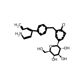 C=C/C=C(\C=C/N)c1ccc(Cc2cc([C@@H]3O[C@H](CO)[C@@H](O)[C@H](O)[C@H]3O)ccc2Cl)cc1